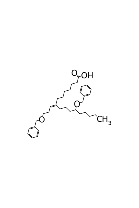 CCCCCC(CCCC(=CCCOCc1ccccc1)CCCCCCC(=O)O)OCc1ccccc1